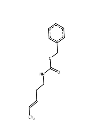 CC=CCCNC(=O)OCc1ccccc1